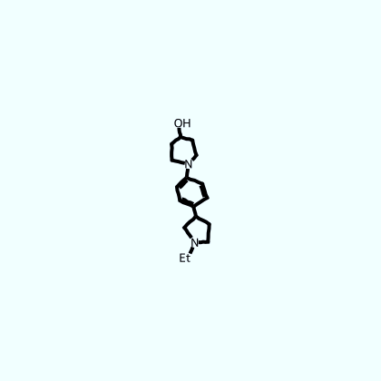 CCN1CCC(c2ccc(N3CCC(O)CC3)cc2)C1